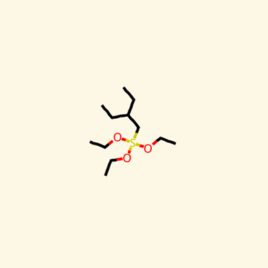 CCOS(CC(CC)CC)(OCC)OCC